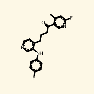 Cc1cc(F)ncc1C(=O)CCCc1ccncc1Nc1ccc(F)cc1